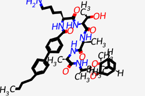 CCCCc1ccc(-c2ccc(C(=O)N[C@@H](CCCCN)C(=O)N[C@H](C(=O)N[C@@H](C)C(=O)N[C@@H](C)C(=O)N[C@@H](C)B3OC4C[C@@H]5C[C@@H](C5(C)C)[C@]4(C)O3)[C@@H](C)O)cc2)cc1